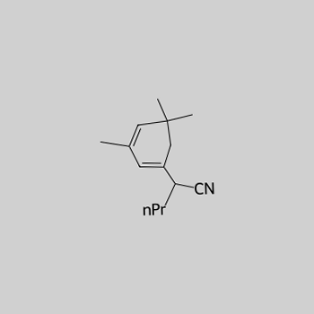 CCCC(C#N)C1=CC(C)=CC(C)(C)C1